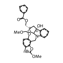 CCCCc1ccc(OCOC)c(CN2c3ccccc3[C@]3(O)C[C@@H](COC(=O)c4ccccc4)OC23)c1OCOC